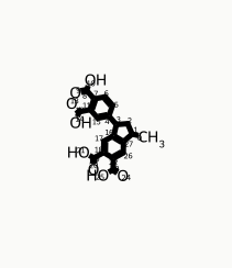 CC1CC(c2ccc(C(=O)O)c(C(=O)O)c2)c2cc(C(=O)O)c(C(=O)O)cc21